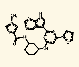 Cn1cnc(C(=O)NC2CCCC(Nc3cc(-c4ccco4)nc(-c4c[nH]c5ncncc45)n3)C2)c1